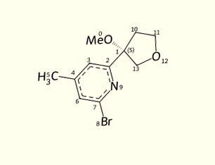 CO[C@]1(c2cc(C)cc(Br)n2)CCOC1